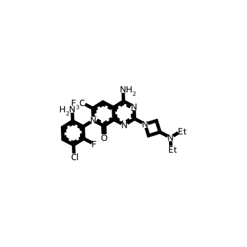 CCN(CC)C1CN(c2nc(N)c3cc(C(F)(F)F)n(-c4c(N)ccc(Cl)c4F)c(=O)c3n2)C1